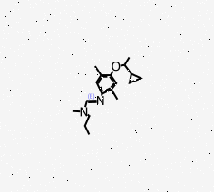 CCCN(C)/C=N/c1cc(C)c(OC(C)C2CC2)cc1C